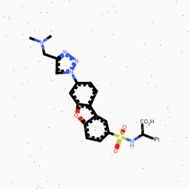 CC(C)C(NS(=O)(=O)c1ccc2oc3cc(-n4cc(CN(C)C)nn4)ccc3c2c1)C(=O)O